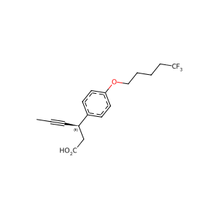 CC#C[C@H](CC(=O)O)c1ccc(OCCCCC(F)(F)F)cc1